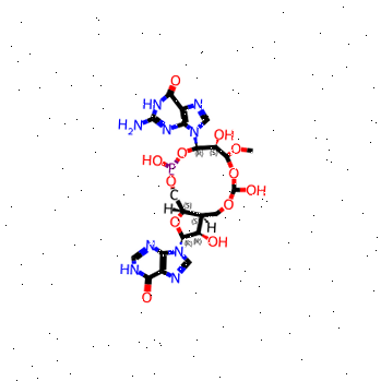 COC1OC(O)OC[C@H]2[C@@H](O)[C@H](n3cnc4c(=O)[nH]cnc43)O[C@@H]2COP(O)O[C@@H](n2cnc3c(=O)[nH]c(N)nc32)[C@@H]1O